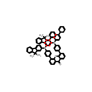 CC1(C)c2ccccc2-c2ccc(N(c3ccc(-c4ccccc4)cc3)c3ccc(-c4cccc5c(=O)c6cccc(-c7ccc(N(c8ccc(C9C=CC=CC9)cc8)c8ccc9c(c8)C(C)(C)c8ccccc8-9)cc7)c6oc45)cc3)cc21